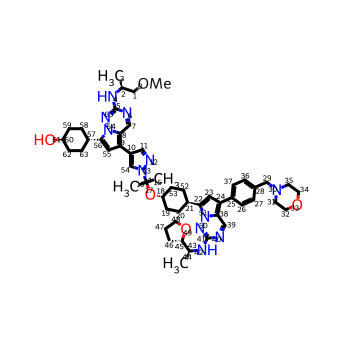 COC[C@H](C)Nc1ncc2c(-c3cnn(C(C)(C)O[C@H]4CC[C@H](c5cc(-c6ccc(CN7CCOCC7)cc6)c6cnc(N[C@@H](C)[C@@H]7CCCO7)nn65)CC4)c3)cc([C@H]3CC[C@H](O)CC3)n2n1